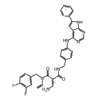 C=CN(Cc1ccc(F)c(F)c1)C(=O)/C(=C\N)C(=O)NCc1ccc(Nc2ncnc3[nH]c(-c4ccccc4)cc23)cc1